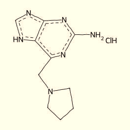 Cl.Nc1nc(CN2CCCC2)c2[nH]cnc2n1